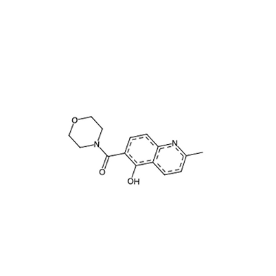 Cc1ccc2c(O)c(C(=O)N3CCOCC3)ccc2n1